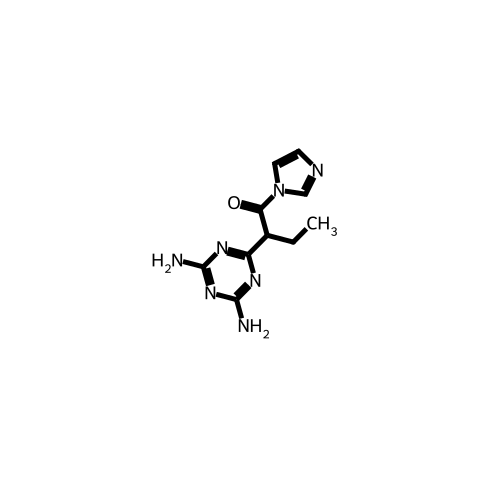 CCC(C(=O)n1ccnc1)c1nc(N)nc(N)n1